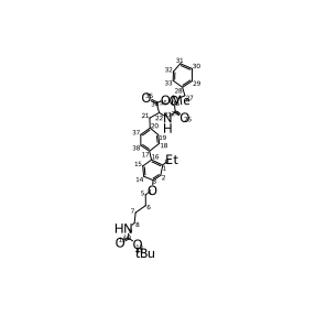 CCc1cc(OCCCCNC(=O)OC(C)(C)C)ccc1-c1ccc(CC(NC(=O)OCc2ccccc2)C(=O)OC)cc1